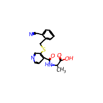 C[C@@H](NC(=O)c1ccncc1SCc1ccccc1C#N)C(=O)O